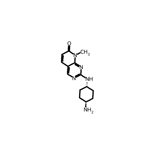 Cn1c(=O)ccc2cnc(N[C@H]3CC[C@H](N)CC3)nc21